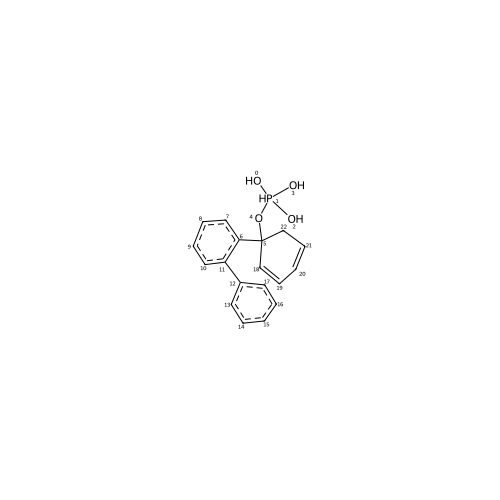 O[PH](O)(O)OC1(c2ccccc2-c2ccccc2)C=CC=CC1